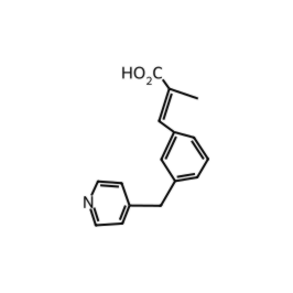 C/C(=C\c1cccc(Cc2ccncc2)c1)C(=O)O